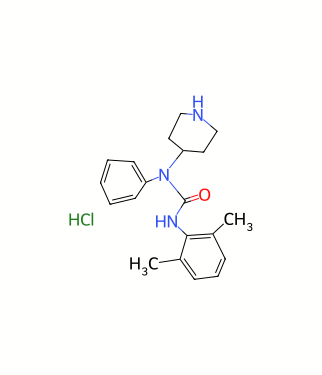 Cc1cccc(C)c1NC(=O)N(c1ccccc1)C1CCNCC1.Cl